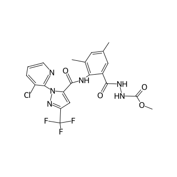 COC(=O)NNC(=O)c1cc(C)cc(C)c1NC(=O)c1cc(C(F)(F)F)nn1-c1ncccc1Cl